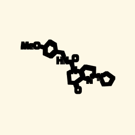 COc1ccc(CNC(=O)N2CCC(=O)c3nc(N4CCCC4)ccc32)cc1